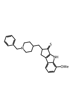 COc1cccc2c3c([nH]c12)C(=S)C(CC1CCN(Cc2ccccc2)CC1)C3